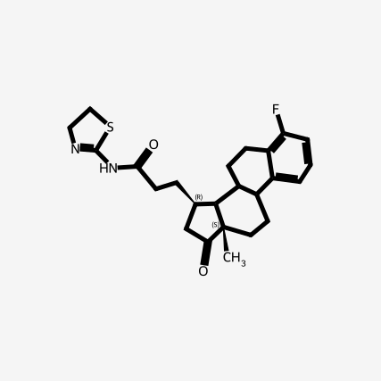 C[C@]12CCC3c4cccc(F)c4CCC3C1[C@H](CCC(=O)NC1=NCCS1)CC2=O